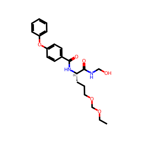 CCOCOCCC[C@H](NC(=O)c1ccc(Oc2ccccc2)cc1)C(=O)NCO